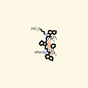 CCCCC[N+]1=C(/C=C/C2=C(S(=O)(=O)c3ccccc3)C(=C/C=C3/N(CCCCS(=O)(=O)O)c4ccc5ccccc5c4C3(C)C)/c3ccccc32)C(C)(C)c2c1ccc1ccccc21